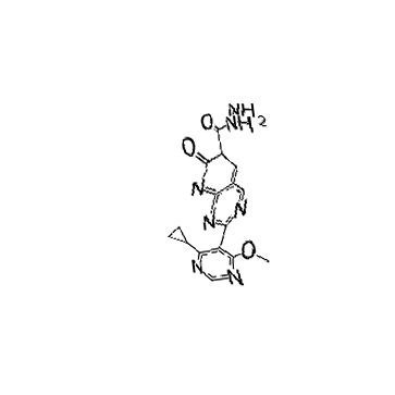 COc1ncnc(C2CC2)c1-c1ncc2c(n1)=NC(=O)C(C(=O)NN)C=2